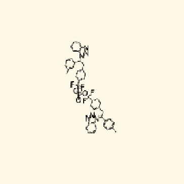 Cc1ccc(C(Cc2ccc(C(F)(F)O[PH](=O)OC(F)(F)c3ccc(CC(c4cccc(C)c4)n4nnc5ccccc54)cc3)cc2)n2nnc3ccccc32)cc1